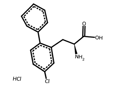 Cl.N[C@@H](Cc1cc(Cl)ccc1-c1ccccc1)C(=O)O